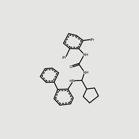 CC(C)c1cccc(C(C)C)c1NC(=O)NC(Nc1ccccc1-c1ccccc1)C1CCCC1